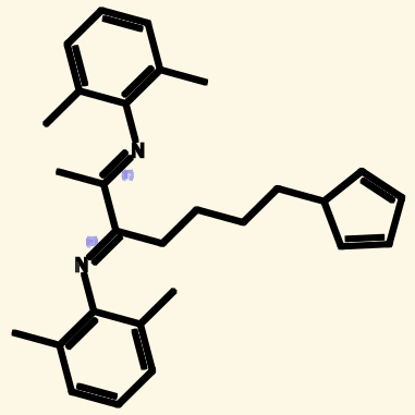 CC(=N\c1c(C)cccc1C)/C(CCCCC1C=CC=C1)=N/c1c(C)cccc1C